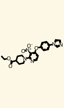 CCOC(=O)C1CCN(c2nccc(Oc3ccc(-n4ccnc4)cc3)c2[N+](=O)[O-])CC1